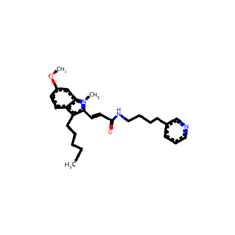 CCCCCc1c(C=CC(=O)NCCCCc2cccnc2)n(C)c2cc(OC)ccc12